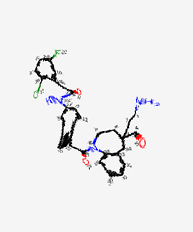 NCCC1(C=O)CCN(C(=O)c2ccc(NC(=O)c3cc(F)ccc3Cl)cc2)c2ccccc2C1